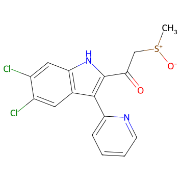 C[S+]([O-])CC(=O)c1[nH]c2cc(Cl)c(Cl)cc2c1-c1ccccn1